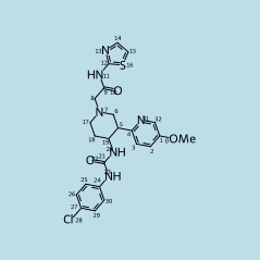 COc1ccc(C2CN(CC(=O)Nc3nccs3)CCC2NC(=O)Nc2ccc(Cl)cc2)nc1